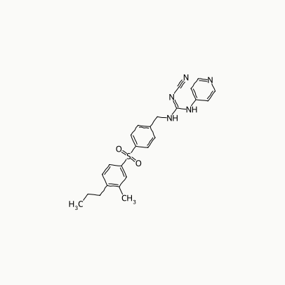 CCCc1ccc(S(=O)(=O)c2ccc(CNC(=NC#N)Nc3ccncc3)cc2)cc1C